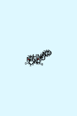 Cc1ccc(N2C[C@@H](C)C[C@@H](NC(=O)CN3CCOCC3)C2)c2cccnc12